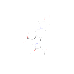 CC(O)C1C(=O)N2C(C(=O)O)=C(CN3CCC(O)C3)C(C)C12